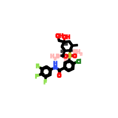 B=C(B)[C@H]1C[C@](O)(CO)CC(C)[C@]1(B)S(=O)(=O)c1cc(C(=O)Nc2cc(F)c(F)c(F)c2)ccc1Cl